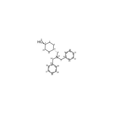 O[C@H]1CC[C@H](CN(Cc2ccccc2)Cc2ccccc2)CC1